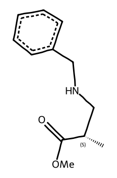 COC(=O)[C@@H](C)CNCc1ccccc1